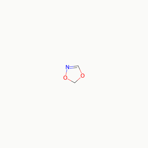 C1=NOCO1